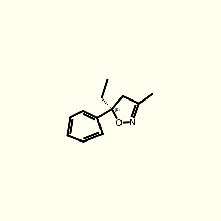 CC[C@]1(c2ccccc2)CC(C)=NO1